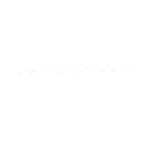 CCCCC=CCCCCCCCCCCCCCCCCCCC